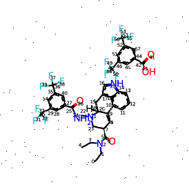 CCN(CC)C(=O)[C@@H]1C=C2c3cccc4[nH]cc(c34)C[C@H]2N(C)C1.NC(=O)c1cc(C(F)(F)F)cc(C(F)(F)F)c1.O=C(O)c1cc(C(F)(F)F)cc(C(F)(F)F)c1